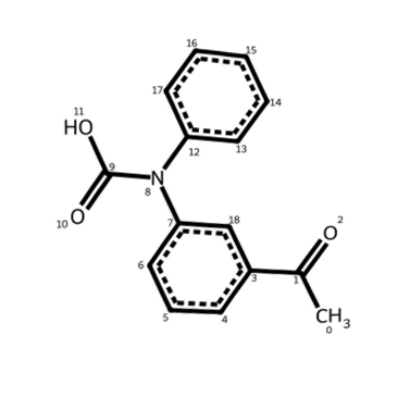 CC(=O)c1cccc(N(C(=O)O)c2ccccc2)c1